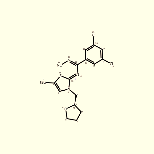 CC(C)(C)c1cn(C[C@H]2CCCO2)/c(=N/C(=NC#N)c2cc(Cl)cc(Cl)c2)s1